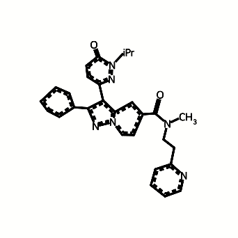 CC(C)n1nc(-c2c(-c3ccccc3)nn3ccc(C(=O)N(C)CCc4ccccn4)cc23)ccc1=O